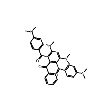 CN(C)c1ccc(C(=O)c2c(N(C)C)cc(N(C)C)c(C(=O)c3ccc(N(C)C)cc3)c2C(=O)c2ccccc2)cc1